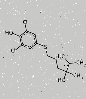 CC(C)C(C)(O)CCCSc1cc(Cl)c(O)c(Cl)c1